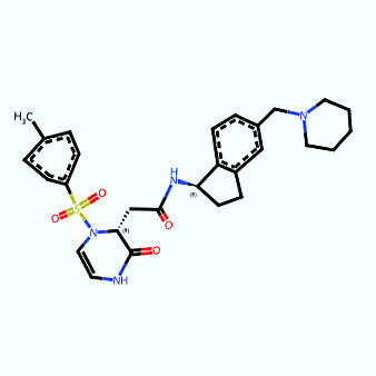 Cc1ccc(S(=O)(=O)N2C=CNC(=O)[C@H]2CC(=O)N[C@@H]2CCc3cc(CN4CCCCC4)ccc32)cc1